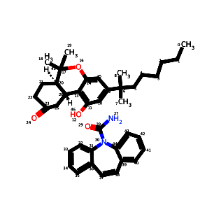 CCCCCCC(C)(C)c1cc(O)c2c(c1)OC(C)(C)[C@@H]1CCC(=O)C[C@@H]21.NC(=O)N1c2ccccc2C=Cc2ccccc21